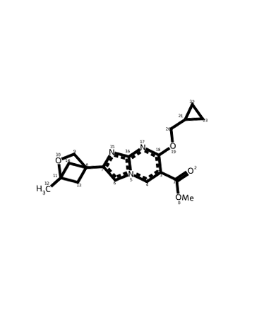 COC(=O)c1cn2cc(C34COC(C)(C3)C4)nc2nc1OCC1CC1